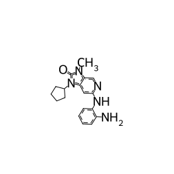 Cn1c(=O)n(C2CCCC2)c2cc(Nc3ccccc3N)ncc21